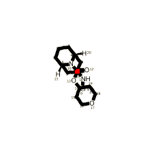 CNC1C[C@H]2CCC[C@@H](C1)N2C(=O)OC1CCOCC1